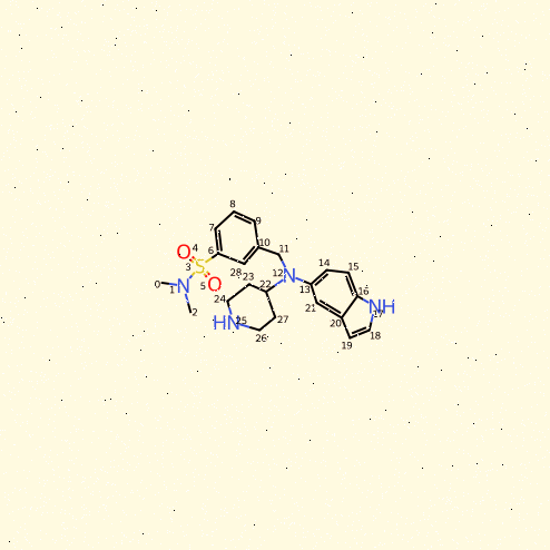 CN(C)S(=O)(=O)c1cccc(CN(c2ccc3[nH]ccc3c2)C2CCNCC2)c1